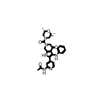 CC(=O)Nc1cc(-c2[nH]c3c(c2Nc2ccccc2)C(=O)CN(C(=O)N2C[C@@H](C)O[C@@H](C)C2)C3)ccn1